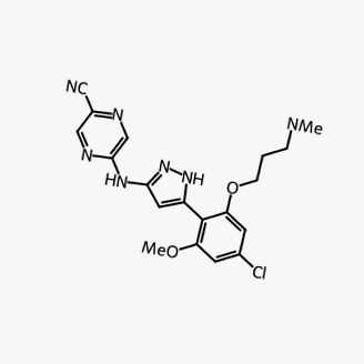 CNCCCOc1cc(Cl)cc(OC)c1-c1cc(Nc2cnc(C#N)cn2)n[nH]1